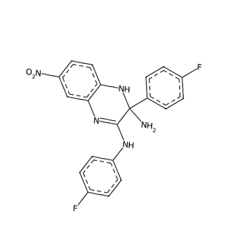 NC1(c2ccc(F)cc2)Nc2ccc([N+](=O)[O-])cc2N=C1Nc1ccc(F)cc1